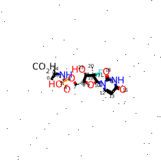 C[C@H](NP(=O)(O)OC[C@H]1OC(n2ccc(=O)[nH]c2=O)[C@](C)(F)[C@@H]1O)C(=O)O